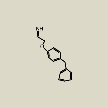 N=[C]COc1ccc(Cc2ccccc2)cc1